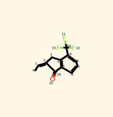 C/C=C1/Cc2c(cccc2C(F)(F)F)C1=O